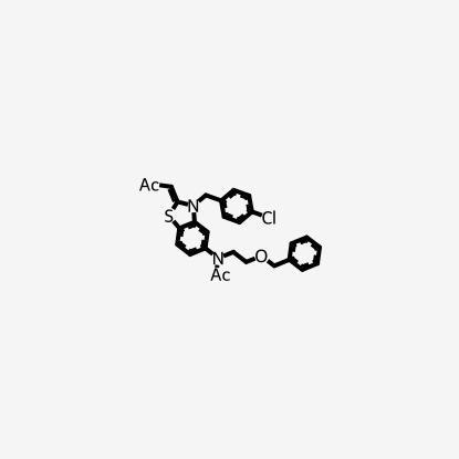 CC(=O)/C=C1\Sc2ccc(N(CCOCc3ccccc3)C(C)=O)cc2N1Cc1ccc(Cl)cc1